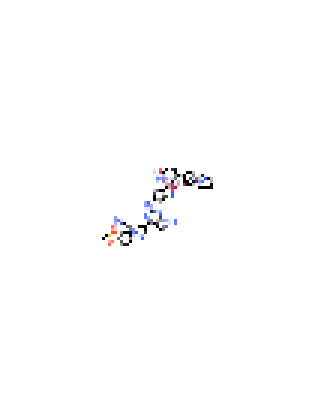 CCS(=O)(=O)C1CCCC(CC#N)(n2cc(-c3nc(Nc4ccc(C(=O)NCCCN5CC6CCC(C5)N6c5ccc(C6CCC(=O)NC6=O)cc5)cc4)nc4[nH]ccc34)cn2)C1